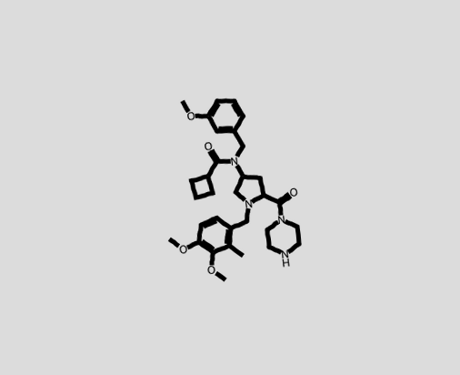 COc1cccc(CN(C(=O)C2CCC2)C2CC(C(=O)N3CCNCC3)N(Cc3ccc(OC)c(OC)c3C)C2)c1